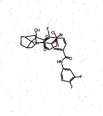 O=C(Nc1ccc(F)c(F)c1)c1ccc(Cl)c(S(=O)(=O)[C@H]2CC3CCC(C2)[C@]3(O)C(O)c2ccnc(Br)c2F)c1